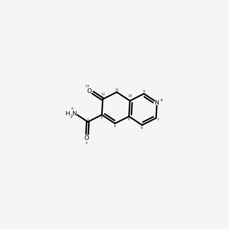 NC(=O)C1=Cc2ccncc2CC1=O